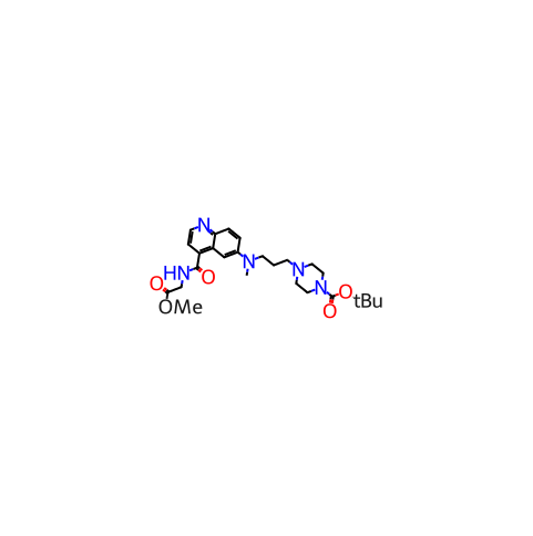 COC(=O)CNC(=O)c1ccnc2ccc(N(C)CCCN3CCN(C(=O)OC(C)(C)C)CC3)cc12